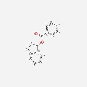 O=C(OC1CCc2ccccc21)c1ccccc1